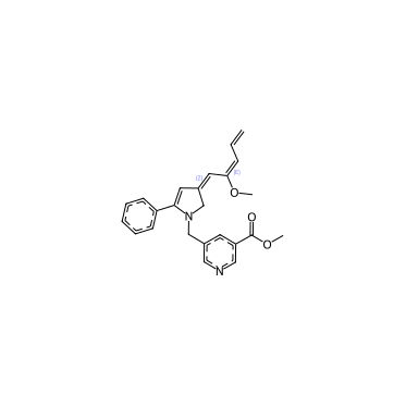 C=C/C=C(\C=C1\C=C(c2ccccc2)N(Cc2cncc(C(=O)OC)c2)C1)OC